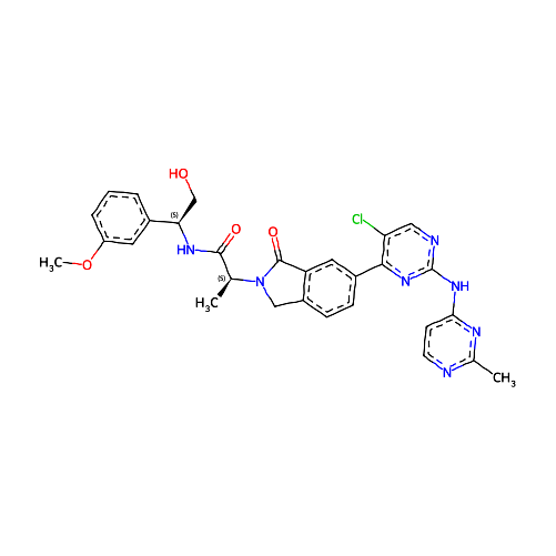 COc1cccc([C@@H](CO)NC(=O)[C@H](C)N2Cc3ccc(-c4nc(Nc5ccnc(C)n5)ncc4Cl)cc3C2=O)c1